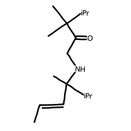 CC=CC(C)(NCC(=O)C(C)(C)C(C)C)C(C)C